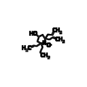 C=CCC1(CC=C)CC(O)CC(CC=C)(CC=C)N1[O]